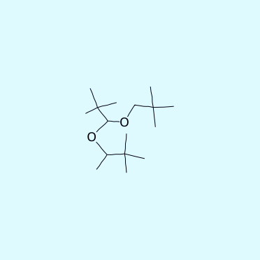 CC(OC(OCC(C)(C)C)C(C)(C)C)C(C)(C)C